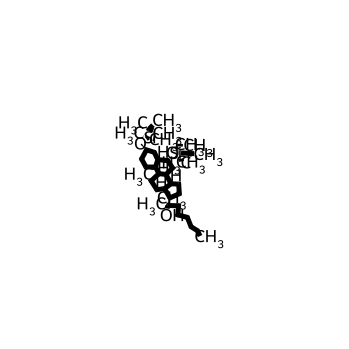 CCCCCCC(C)(O)[C@H]1CC[C@H]2[C@@H]3C[C@H](O[Si](C)(C)C(C)(C)C)[C@H]4C[C@@H](O[Si](C)(C)C(C)(C)C)CC[C@]4(C)[C@H]3CC[C@]12C